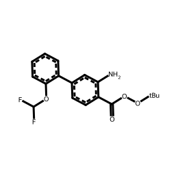 CC(C)(C)OOC(=O)c1ccc(-c2ccccc2OC(F)F)cc1N